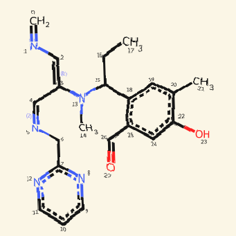 C=N/C=C(\C=N/Cc1ncccn1)N(C)C(CC)c1cc(C)c(O)cc1C=O